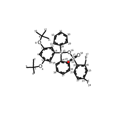 CC(C)(C)Oc1cc(OC(C)(C)C)cc(S(OS(=O)(=O)c2ccc(F)cc2F)(c2ccccc2)c2ccccc2)c1